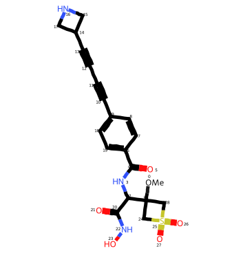 COC1(C(NC(=O)c2ccc(C#CC#CC3CNC3)cc2)C(=O)NO)CS(=O)(=O)C1